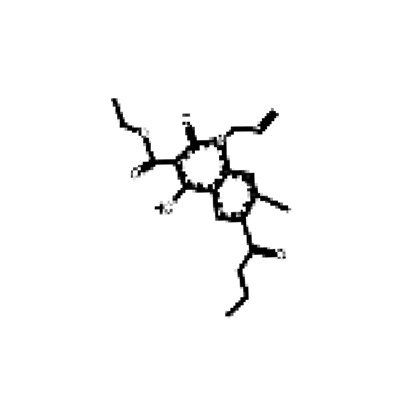 C=CCn1c(=O)c(C(=O)OCC)c(O)c2cc(C(=O)CCC)c(C)cc21